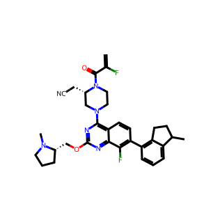 C=C(F)C(=O)N1CCN(c2nc(OC[C@@H]3CCCN3C)nc3c(F)c(-c4cccc5c4CCC5C)ccc23)C[C@@H]1CC#N